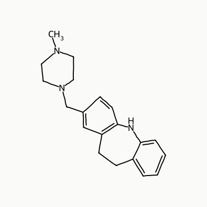 CN1CCN(Cc2ccc3c(c2)CCc2ccccc2N3)CC1